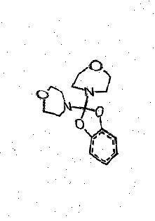 c1ccc2c(c1)OC(N1CCOCC1)(N1CCOCC1)O2